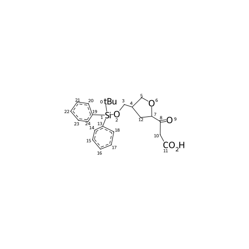 CC(C)(C)[Si](OCC1COC(C(=O)CC(=O)O)C1)(c1ccccc1)c1ccccc1